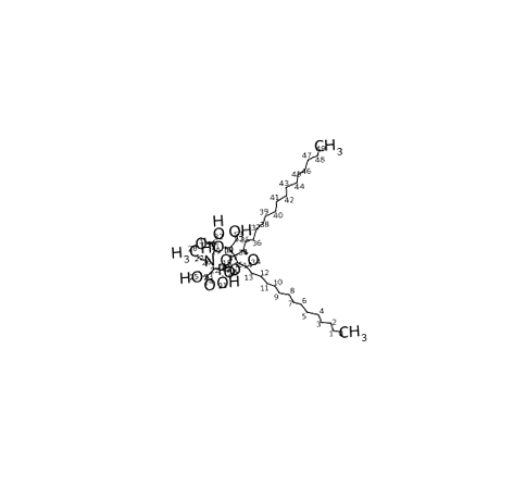 CCCCCCCCCCCCCCCC(=O)C(OP(=O)(O)C(C(=O)O)N(CC)CC(=O)O)(C(=O)CCCCCCCCCCCCCCC)[C@@H](O)CO